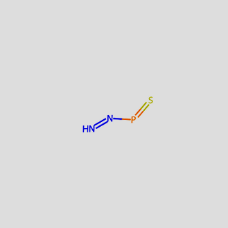 N=NP=S